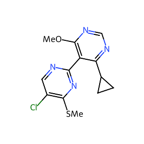 COc1ncnc(C2CC2)c1-c1ncc(Cl)c(SC)n1